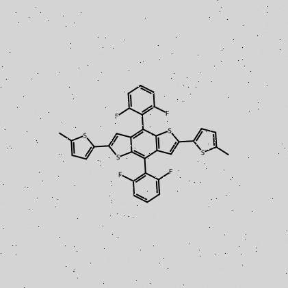 Cc1ccc(-c2cc3c(-c4c(F)cccc4F)c4sc(-c5ccc(C)s5)cc4c(-c4c(F)cccc4F)c3s2)s1